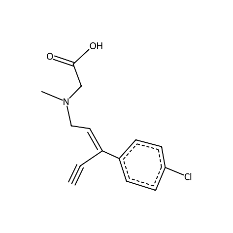 C#CC(=CCN(C)CC(=O)O)c1ccc(Cl)cc1